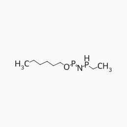 CCCCCCOP=NPCC